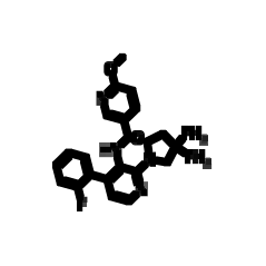 COc1ccc(C(=O)Nc2c(-c3ccccc3F)ccnc2N2CCC(P)(P)C2)cn1